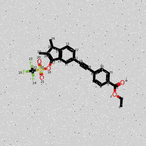 CCOC(=O)c1ccc(C#Cc2ccc3c(c2)C(OS(=O)(=O)C(F)(F)F)=C(C)C3C)cc1